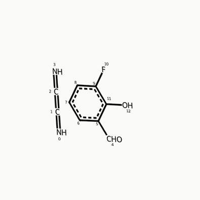 N=C=C=N.O=Cc1cccc(F)c1O